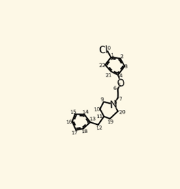 Clc1ccc(OCCN2CCC(Cc3ccccc3)CC2)cc1